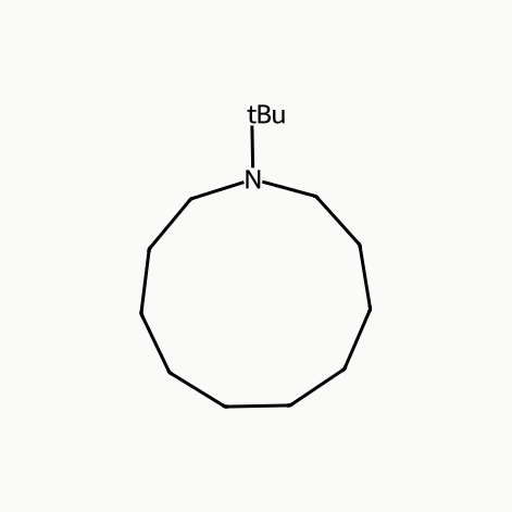 CC(C)(C)N1CCCCCCCCCC1